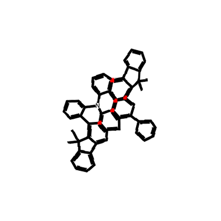 CC1(C)c2ccccc2-c2ccc(-c3ccccc3N(c3ccccc3-c3ccc(-c4ccccc4)cc3)c3ccccc3-c3cccc4c3C(C)(C)c3ccccc3-4)cc21